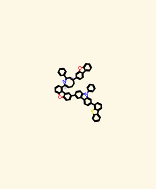 C1=C(c2cccc3oc4ccc(-c5ccc6c(c5)c5ccc(-c7cccc8c7sc7ccccc78)cc5n6-c5ccccc5)cc4c23)/N=C(c2ccccc2)\C=C(\c2ccc3c(c2)oc2ccccc23)CC\1